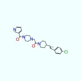 O=C(CN1CCN(C(=O)c2cccnc2)CC1)N1CCC(/C=C/c2ccc(Cl)cc2)CC1